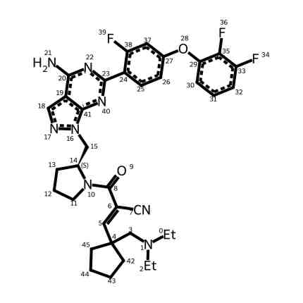 CCN(CC)CC1(C=C(C#N)C(=O)N2CCC[C@H]2Cn2ncc3c(N)nc(-c4ccc(Oc5cccc(F)c5F)cc4F)nc32)CCCC1